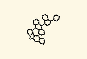 c1ccc(-c2ccc(-c3c4ccccc4c(-c4cccc5oc6cc7ccccc7cc6c45)c4ccccc34)c3ccccc23)cc1